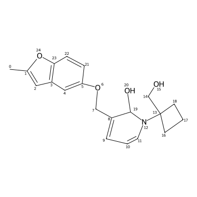 Cc1cc2cc(OCC3=CC=CN(C4(CO)CCC4)C3O)ccc2o1